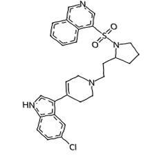 O=S(=O)(c1cncc2ccccc12)N1CCCC1CCN1CC=C(c2c[nH]c3ccc(Cl)cc23)CC1